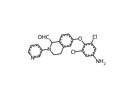 Nc1cc(Cl)c(Oc2ccc3c(c2)CCN(c2cccnc2)C3C=O)c(Cl)c1